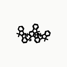 CC1(C)C2=C(C=CCC2)c2c1c1cccc3c1n2-c1cc2c(c(-c4cccc5c6c([nH]c45)-c4ccccc4C6(C)C)c1S3)C(C)(C)c1ccccc1-2